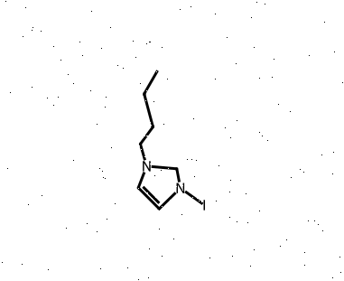 CCCCN1C=CN(I)C1